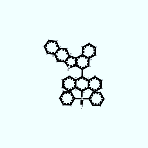 O=P(c1ccccc1)(c1ccccc1)c1c2ccccc2c(-c2cc3ccccc3c3c2oc2cc4ccccc4cc23)c2ccccc12